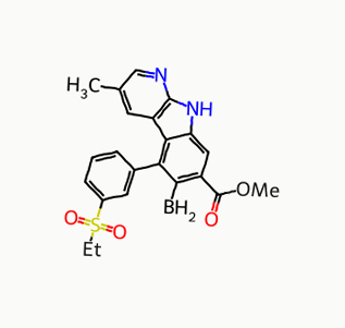 Bc1c(C(=O)OC)cc2[nH]c3ncc(C)cc3c2c1-c1cccc(S(=O)(=O)CC)c1